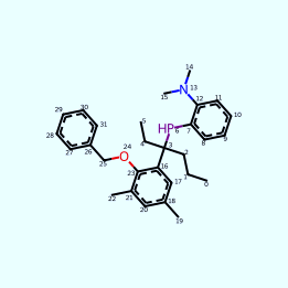 CCCC(CC)(Pc1ccccc1N(C)C)c1cc(C)cc(C)c1OCc1ccccc1